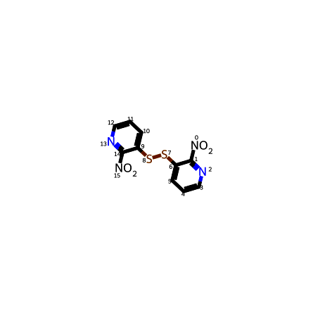 O=[N+]([O-])c1ncccc1SSc1cccnc1[N+](=O)[O-]